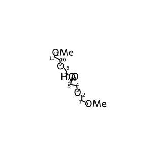 COCCOCCOCCOCCOC.O